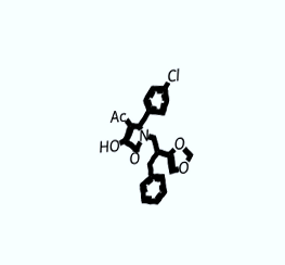 CC(=O)C1=C(O)C(=O)N(CC(Cc2ccccc2)C2=COCO2)C1c1ccc(Cl)cc1